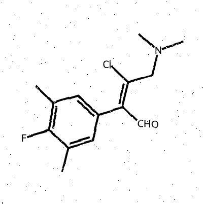 Cc1cc(C(C=O)=C(Cl)CN(C)C)cc(C)c1F